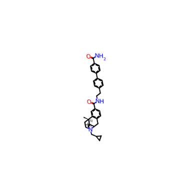 C[C@H]1C2Cc3ccc(C(=O)NCCc4ccc(-c5ccc(C(N)=O)cc5)cc4)cc3[C@@]1(C)CCN2CC1CC1